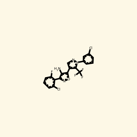 Nc1c(-c2c(F)cccc2Cl)noc1-c1cnn(-c2cccc(Cl)c2)c1C(F)(F)F